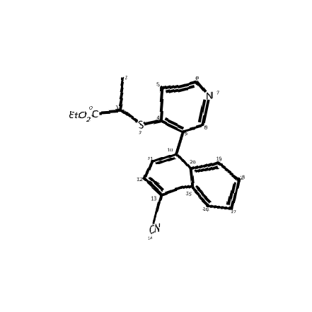 CCOC(=O)C(C)Sc1ccncc1-c1ccc(C#N)c2ccccc12